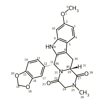 COc1ccc2c3c([nH]c2c1)[C@@H](c1ccc2c(c1)OCO2)N1C(=O)CN(C)C(=O)[C@H]1C3